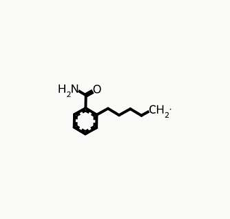 [CH2]CCCCc1ccccc1C(N)=O